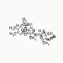 CC[C@@H](C)CC(=O)O[C@@H]1C(C)[C@H](OCC2O[C@@H](C)C(N=[N+]=[N-])[C@@H](C)[C@@H]2C)OC2COC(C)(C)O[C@H]21